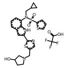 O=C(O)C(F)(F)F.O=S(=O)(c1cccs1)N(CC1CC1)c1cccc2cc(-c3ncc(CN4CCC(O)C4)s3)[nH]c12